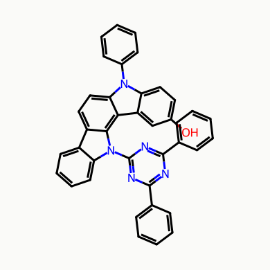 Oc1ccc2c(c1)c1c(ccc3c4ccccc4n(-c4nc(-c5ccccc5)nc(-c5ccccc5)n4)c31)n2-c1ccccc1